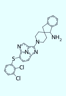 NC1c2ccccc2CC12CCN(c1nc3ccc(Sc4cccc(Cl)c4Cl)c4ncc1n34)CC2